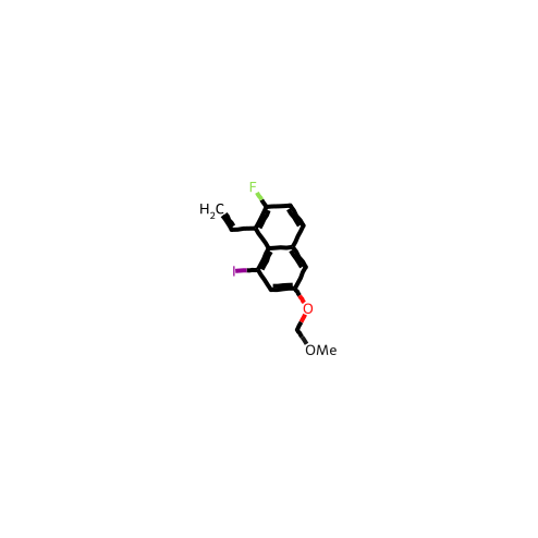 C=Cc1c(F)ccc2cc(OCOC)cc(I)c12